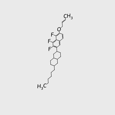 C/C=C/COc1ccc2cc(C3CCC4CC(CCCCCC)CCC4C3)c(F)c(F)c2c1F